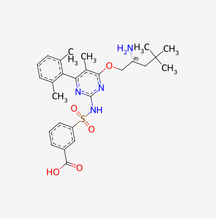 Cc1cccc(C)c1-c1nc(NS(=O)(=O)c2cccc(C(=O)O)c2)nc(OC[C@H](N)CC(C)(C)C)c1C